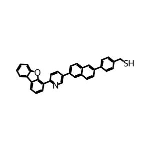 SCc1ccc(-c2ccc3cc(-c4ccc(-c5cccc6c5oc5ccccc56)nc4)ccc3c2)cc1